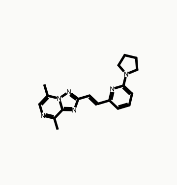 Cc1ncc(C)n2nc(/C=C/c3cccc(N4CCCC4)n3)nc12